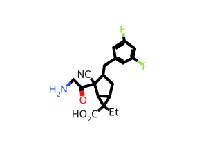 CCC1(C(=O)O)C2CC(Cc3cc(F)cc(F)c3)C(C#N)(C(=O)CN)C21